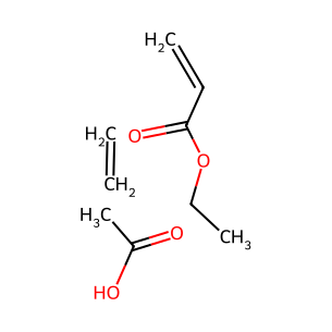 C=C.C=CC(=O)OCC.CC(=O)O